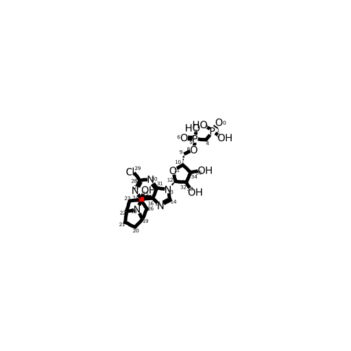 O=P(O)(O)CP(=O)(O)OC[C@H]1O[C@@H](n2cnc3c(N4C5CCC4CC(O)C5)nc(Cl)nc32)C(O)C1O